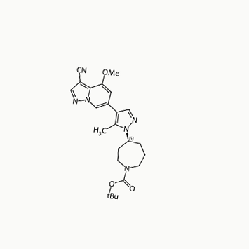 COc1cc(-c2cnn([C@H]3CCCN(C(=O)OC(C)(C)C)CC3)c2C)cn2ncc(C#N)c12